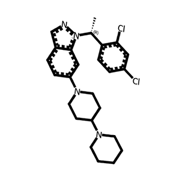 C[C@H](c1ccc(Cl)cc1Cl)n1ncc2ccc(N3CCC(N4CCCCC4)CC3)cc21